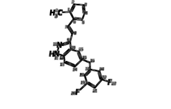 Cc1ccccc1C=Cc1n[nH]c2ccc(Cc3cc(F)cc(F)c3)cc12